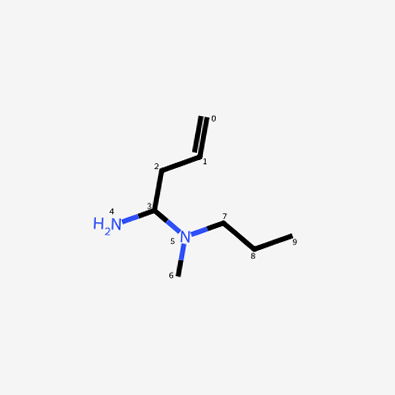 C=CCC(N)N(C)CCC